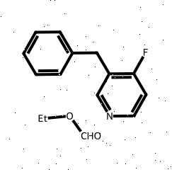 CCOC=O.Fc1ccncc1Cc1ccccc1